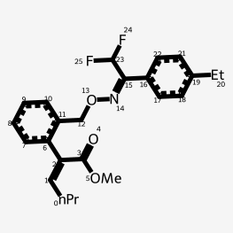 CCC/C=C(\C(=O)OC)c1ccccc1CO/N=C(/c1ccc(CC)cc1)C(F)F